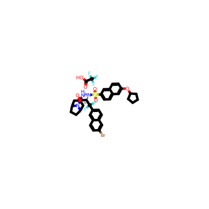 NC1CC2CCC(C1)N2C(=O)[C@H](NS(=O)(=O)c1ccc2cc(OC3CCCC3)ccc2c1)C(F)(F)c1ccc2cc(Br)ccc2c1.O=C(O)C(F)(F)F